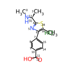 CN[C@@H](C)c1nc(-c2ccc(C(=O)O)cc2)c(C)s1.Cl